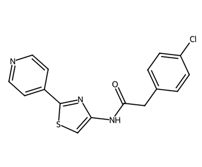 O=C(Cc1ccc(Cl)cc1)Nc1csc(-c2ccncc2)n1